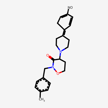 Cc1ccc(CN2OCCC(N3CCC(=C4C=CC(N=O)=CC4)CC3)C2=O)cc1